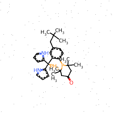 CC(C)(C)Cc1ccc(P2C(C)(C)CC(=O)CC2(C)C)c(C(P)(c2ccc[nH]2)c2ccc[nH]2)c1